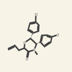 C=CCC1O[C@H](c2ccc(Cl)cc2)[C@H](c2ccc(Cl)cc2)N(C)C1=O